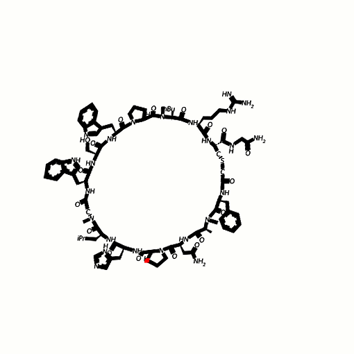 CCCC[C@H]1C(=O)N[C@@H](CCCNC(=N)N)C(=O)N[C@H](C(=O)NCC(N)=O)CSCC(=O)N[C@@H](Cc2ccccc2)C(=O)N(C)[C@@H](C)C(=O)N[C@@H](CC(N)=O)C(=O)N2CCC[C@H]2C(=O)N[C@@H](Cc2cnc[nH]2)C(=O)N[C@@H](CC(C)C)C(=O)N(C)CC(=O)N[C@@H](Cc2c[nH]c3ccccc23)C(=O)N[C@@H](CO)C(=O)N[C@@H](CC2C=Nc3ccccc32)C(=O)N2CCC[C@H]2C(=O)N1C